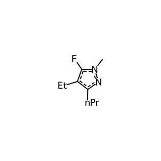 CCCc1nn(C)c(F)c1CC